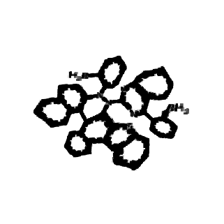 Bc1ccccc1-c1nc(N2c3c(c4ccccc4c4c3sc3ccccc34)-c3c(ccc4ccccc34)N2c2ccccc2B)nc2ccccc12